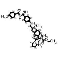 CCOC(=O)N(C)[C@@](C)(C(=O)N1CCCC1)c1ccc2c(c1)nc(CNc1ccc(C(=N)NC(=O)c3ccc(C)cc3)cc1)n2C